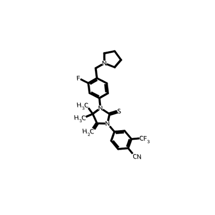 C=C1N(c2ccc(C#N)c(C(F)(F)F)c2)C(=S)N(c2ccc(CN3CCCC3)c(F)c2)C1(C)C